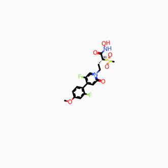 COc1ccc(-c2cc(=O)n(CC[C@H](C(=O)NO)S(C)(=O)=O)cc2F)c(F)c1